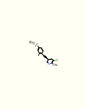 CCOC(=O)c1ccc(C#Cc2cnc(C#N)c(Cl)c2)c(C)c1